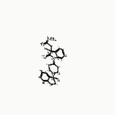 CNC(=O)CC1(C)C(=O)N(C2CCN(C3(C)CCc4ccccc43)CC2)c2ccccc21